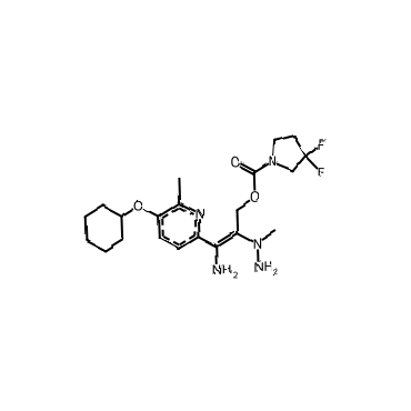 Cc1nc(/C(N)=C(\COC(=O)N2CCC(F)(F)C2)N(C)N)ccc1OC1CCCCC1